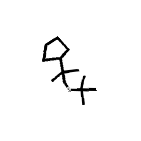 CC(C)(C)SC(C)(C)C1CCCC1